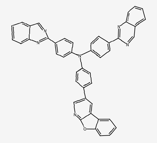 c1ccc2nc(-c3ccc(N(c4ccc(-c5cnc6oc7ccccc7c6c5)cc4)c4ccc(-c5ncc6ccccc6n5)cc4)cc3)ncc2c1